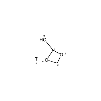 OC1OCO1.[Ti]